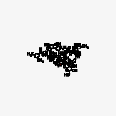 CN[C@H](CC(C)C)C(=O)N[C@H]1C(=O)N[C@@H](CC(N)=O)C(=O)NC2C(=O)N[C@H]3C(=O)N[C@H](C(=O)NC(C(=O)NCC(=O)Nc4cc(C)cc(C)c4)c4cc(O)cc(O)c4-c4cc3ccc4O)[C@H](O)c3ccc(c(Cl)c3)Oc3cc2cc(c3O[C@@H]2O[C@H](CO)[C@@H](O)[C@H](O)[C@H]2OC2C[C@](C)(N)[C@H](O)[C@H](C)O2)Oc2ccc(cc2Cl)[C@H]1O